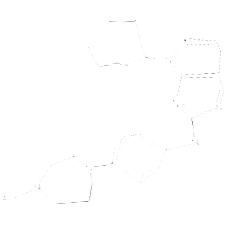 CC(=O)N1CCN(c2ccc(Nc3ncc4cnn(C5CCCCC5)c4n3)cc2)CC1